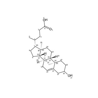 CC(CCC(=O)O)[C@H]1CC[C@H]2[C@@H]3CC=C4CC(O)CC[C@]4(C)[C@H]3CC[C@]12C